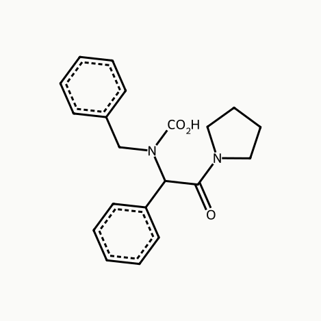 O=C(C(c1ccccc1)N(Cc1ccccc1)C(=O)O)N1CCCC1